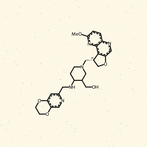 COc1ccc2ncc3c(c2n1)[C@@H](CN1CCC(NCc2cc4c(cn2)OCCO4)C(CO)C1)CO3